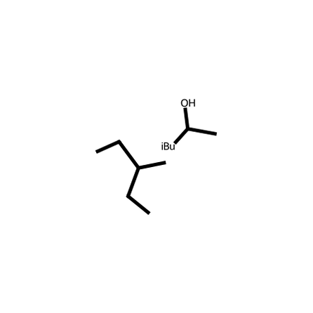 CCC(C)C(C)O.CCC(C)CC